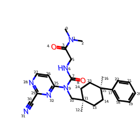 CN(C)C(=O)CNC(=O)N(C[C@]1(C)CC[C@](C)(c2ccccc2)CC1)c1ccnc(C#N)n1